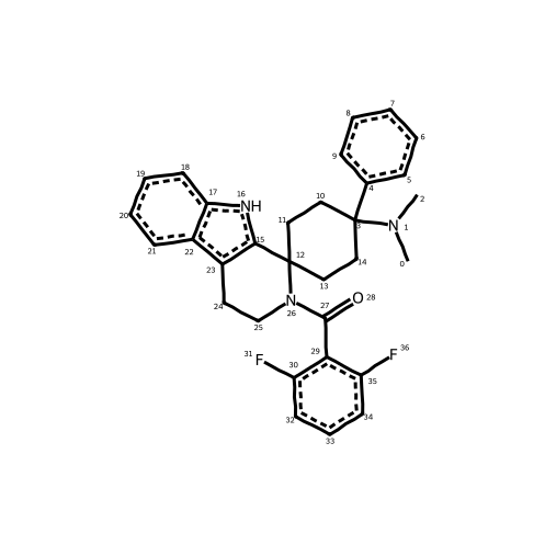 CN(C)C1(c2ccccc2)CCC2(CC1)c1[nH]c3ccccc3c1CCN2C(=O)c1c(F)cccc1F